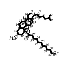 CC(C)CCC[C@@H](C)[C@H]1CC[C@H]2[C@@H]3CC=C4C[C@@H](O)CC(OC(=O)CCCCCCCCCCBr)[C@]4(C)[C@H]3CC[C@]12C